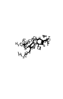 COCc1nn(-c2c(Cl)cc(C(F)(F)F)cc2Cl)c(N)c1SC(C)(F)F